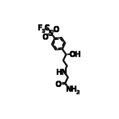 NC(=O)CNCCC(O)c1ccc(S(=O)(=O)C(F)(F)F)cc1